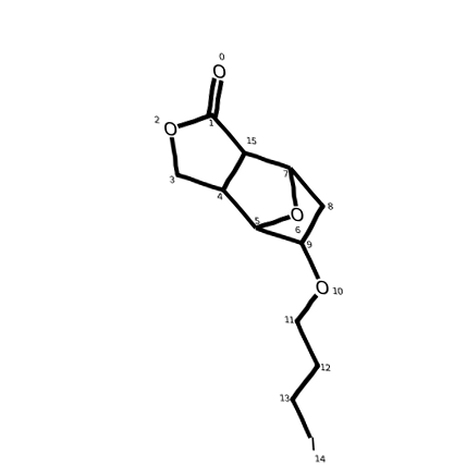 O=C1OCC2C3OC(CC3OCCCI)C12